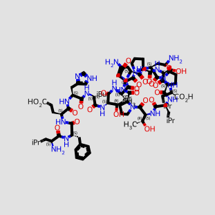 CC[C@H](C)[C@H](NC(=O)[C@H](Cc1c[nH]cn1)NC(=O)[C@H](CCC(=O)O)NC(=O)[C@H](Cc1ccccc1)NC(=O)[C@@H](N)CC(C)C)C(=O)N[C@H](C(=O)N[C@H](C(=O)N1CCC[C@H]1C(=O)N[C@@H](CC(N)=O)C(=O)N1CCC[C@H]1C(=O)N[C@@H](CC(C)C)C(=O)N[C@H](C(=O)N1CCC[C@H]1C(=O)N[C@@H](CC(N)=O)C(=O)N1CCC[C@H]1C(=O)N[C@@H](CO)C(=O)N[C@@H](CC(C)C)C(=O)O)[C@@H](C)O)C(C)C)[C@@H](C)O